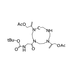 C=C(COC(C)=O)N1CCNCCN(C(=C)COC(C)=O)CCN(C(=O)CNC(=O)OC(C)(C)C)CC1